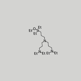 CCO[Si](CC)(CC)CCCN(CCCN(CC)CC)CCCN(CC)CC